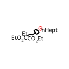 CCCCCCCOc1ccc(CCC(CC)(C(=O)OCC)C(=O)OCC)cc1